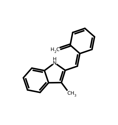 C=c1cccc/c1=C/c1[nH]c2ccccc2c1C